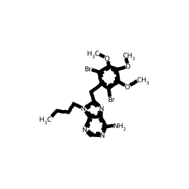 CCCCn1c(Cc2c(Br)c(OC)c(OC)c(OC)c2Br)nc2c(N)ncnc21